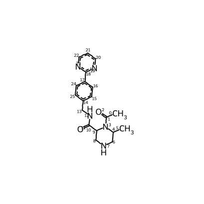 CC(=O)N1C(C)CNCC1C(=O)NCc1ccc(-c2ncccn2)cc1